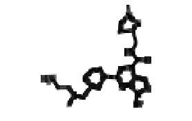 CC(C)n1ncc2c(C(=O)NCc3ccn(C)n3)cc(-c3cccc(CN(C)CCN)c3)nc21